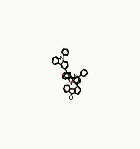 O=C1c2cccc(-c3cc(-c4ccccc4)nc(-c4ccccc4)c3)c2-c2c1cccc2-n1c2ccccc2c2cc(-c3ccc4c(c3)c3ccccc3n4-c3ccccc3)ccc21